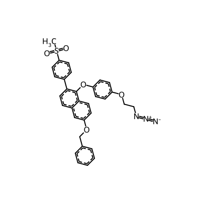 CS(=O)(=O)c1ccc(-c2ccc3cc(OCc4ccccc4)ccc3c2Oc2ccc(OCCN=[N+]=[N-])cc2)cc1